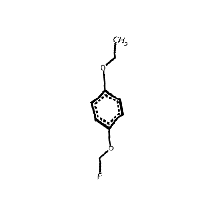 CCOc1ccc(OCF)cc1